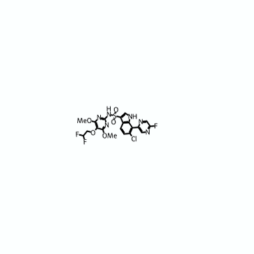 COc1nc(NS(=O)(=O)c2c[nH]c3c(-c4cnc(F)cn4)c(Cl)ccc23)nc(OC)c1OCC(F)F